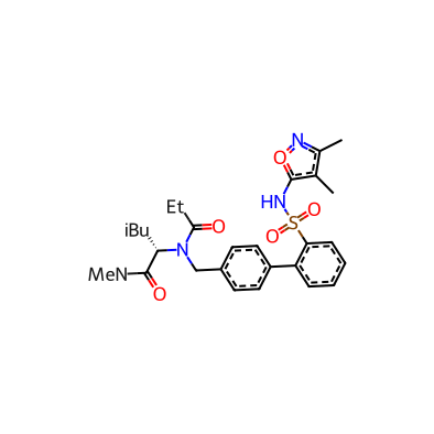 CCC(=O)N(Cc1ccc(-c2ccccc2S(=O)(=O)Nc2onc(C)c2C)cc1)[C@H](C(=O)NC)C(C)CC